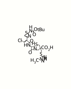 Cn1nnnc1SCC1(C(=O)O)CS[C@@H]2C(NC(=O)C(=CCl)c3csc(NC(=O)OC(C)(C)C)n3)C(=O)N2C1